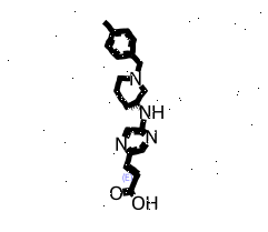 Cc1ccc(CN2CCC[C@@H](Nc3cnc(/C=C/C(=O)O)cn3)C2)cc1